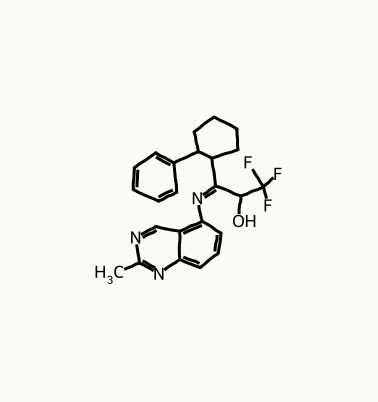 Cc1ncc2c(N=C(C3CCCCC3c3ccccc3)C(O)C(F)(F)F)cccc2n1